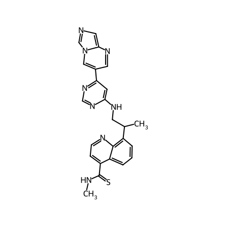 CNC(=S)c1ccnc2c(C(C)CNc3cc(-c4cnc5cncn5c4)ncn3)cccc12